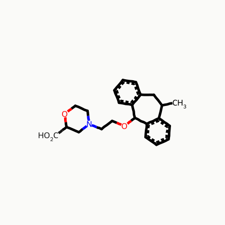 CC1Cc2ccccc2C(OCCN2CCOC(C(=O)O)C2)c2ccccc21